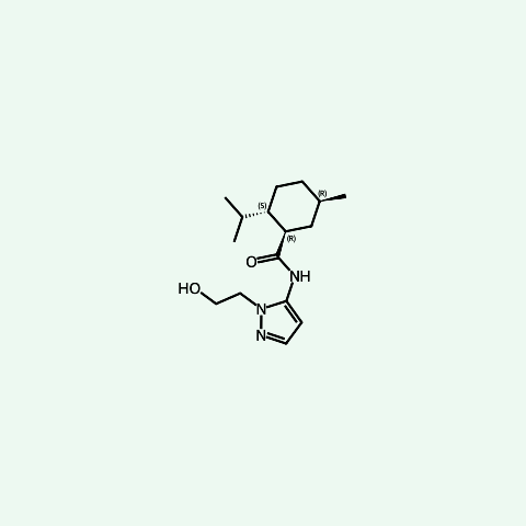 CC(C)[C@@H]1CC[C@@H](C)C[C@H]1C(=O)Nc1ccnn1CCO